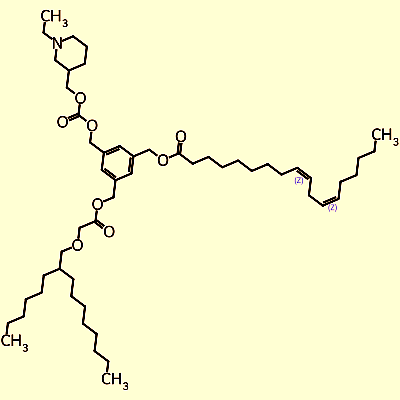 CCCCC/C=C\C/C=C\CCCCCCCC(=O)OCc1cc(COC(=O)COCC(CCCCCC)CCCCCCCC)cc(COC(=O)OCC2CCCN(CC)C2)c1